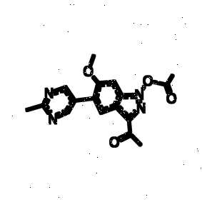 COc1cc2c(cc1-c1cnc(C)nc1)c(C(C)=O)nn2OC(C)=O